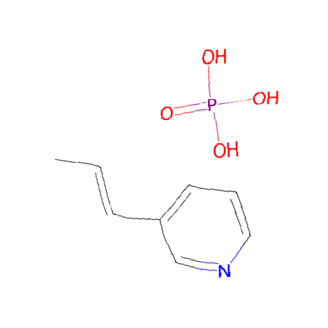 CC=Cc1cccnc1.O=P(O)(O)O